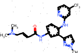 CN(C)C/C=C/C(=O)Nc1ccc(Nc2cc(C(F)(F)F)ccn2)c(-c2ccn(C)n2)c1